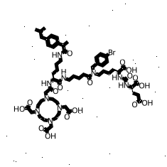 CC(C)Cc1ccc(C(C)C(=O)NCCCC[C@H](NC(=O)CN2CCN(CC(=O)O)CCN(CC(=O)O)CCN(CC(=O)O)CC2)C(=O)NCCCCC(=O)N(CCCC[C@H](NC(=O)N[C@@H](CCC(=O)O)C(=O)O)C(=O)O)Cc2ccc(Br)cc2)cc1